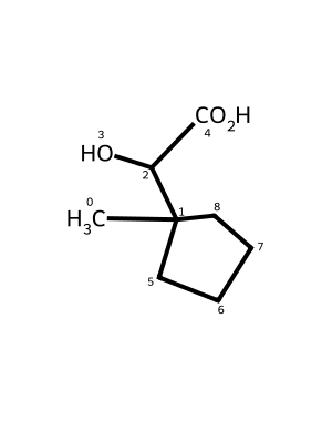 CC1(C(O)C(=O)O)CCCC1